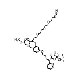 COC(=O)C[C@@H]1Cc2ccc(OCCCN(C(=O)OC(C)(C)C)c3ccccn3)cc2CN(CCOCCOCCOCCN=[N+]=[N-])C1=O